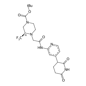 CC(C)(C)OC(=O)N1CCN(CC(=O)Nc2cc(C3CCC(=O)NC3=O)ccn2)[C@@H](C(F)(F)F)C1